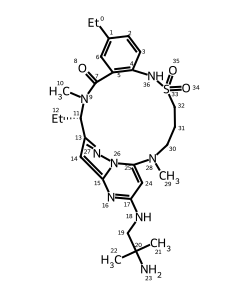 CCc1ccc2c(c1)C(=O)N(C)[C@@H](CC)c1cc3nc(NCC(C)(C)N)cc(n3n1)N(C)CCCS(=O)(=O)N2